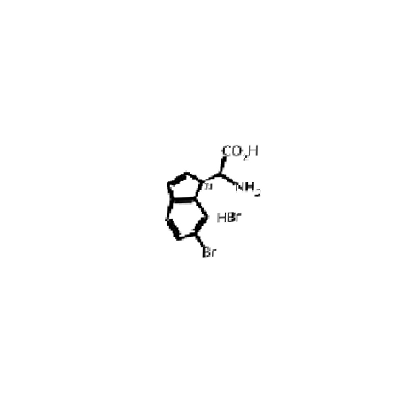 Br.NC(C(=O)O)[C@@H]1C=Cc2ccc(Br)cc21